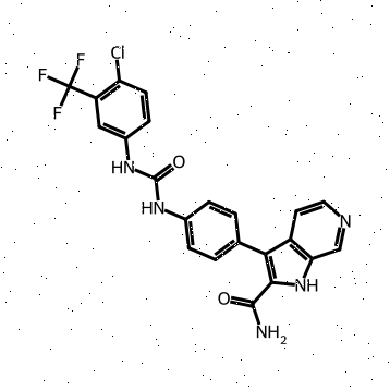 NC(=O)c1[nH]c2cnccc2c1-c1ccc(NC(=O)Nc2ccc(Cl)c(C(F)(F)F)c2)cc1